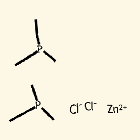 CP(C)C.CP(C)C.[Cl-].[Cl-].[Zn+2]